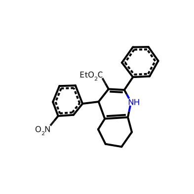 CCOC(=O)C1=C(c2ccccc2)NC2=C(CCCC2)C1c1cccc([N+](=O)[O-])c1